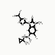 Cn1c(=O)n(-c2nnc(C(F)F)o2)c2cc([S+]([O-])NC3(C)CC3)c(F)cc21